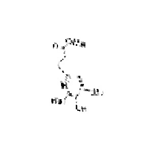 COC(=O)CCc1cc(C(C)(C)C)c(O)c(C(C)(C)C)n1